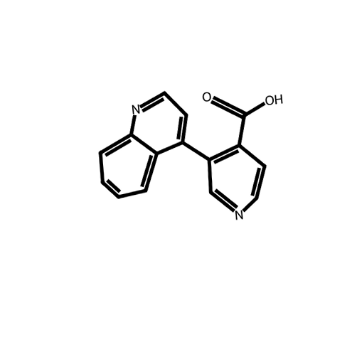 O=C(O)c1ccncc1-c1ccnc2ccccc12